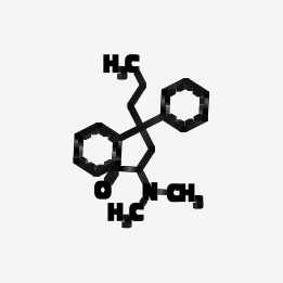 CCCC(CC(C=O)N(C)C)(c1ccccc1)c1ccccc1